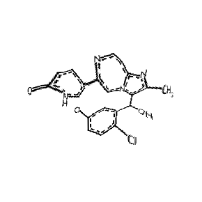 Cc1nc2cnc(-c3ccc(=O)[nH]c3)cn2c1C(O)c1cc(Cl)ccc1Cl